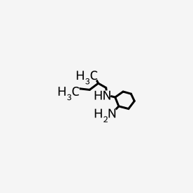 CCCC(C)CNC1CCCCC1N